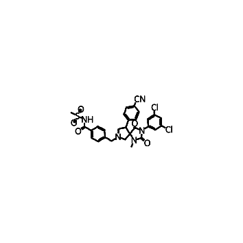 CN1C(=O)N(c2cc(Cl)cc(Cl)c2)C(=O)C12CN(Cc1ccc(C(=O)NS(C)(=O)=O)cc1)CC2c1ccc(C#N)cc1